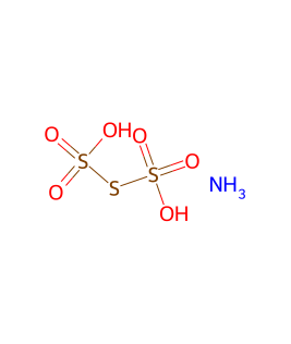 N.O=S(=O)(O)SS(=O)(=O)O